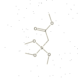 COC(=O)C[Si](OC)(OC)OC